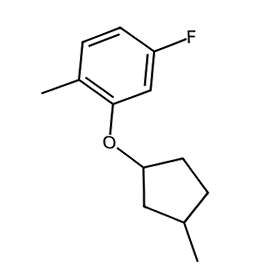 Cc1ccc(F)cc1OC1CCC(C)C1